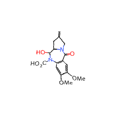 C=C1CC2C(O)N(C(=O)O)c3cc(OC)c(OC)cc3C(=O)N2C1